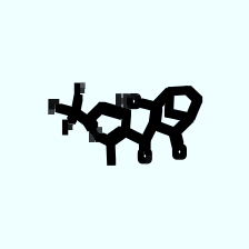 Cc1nc(C(F)(F)F)ccc1C(=O)C1=C(O)C2CCC(C2)C1=O